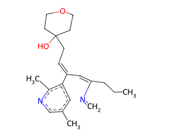 C=N/C(=C\C(=C/CC1(O)CCOCC1)c1cc(C)cnc1C)CCC